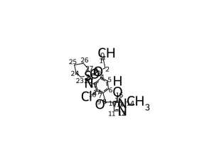 C#CCOc1ccc(C(=O)c2cnn(C)c2O)c(Cl)c1N=S1(=O)CCCCC1